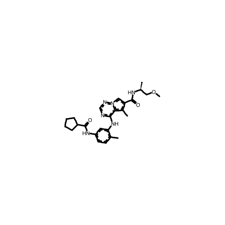 COC[C@H](C)NC(=O)c1cn2ncnc(Nc3cc(NC(=O)C4CCCC4)ccc3C)c2c1C